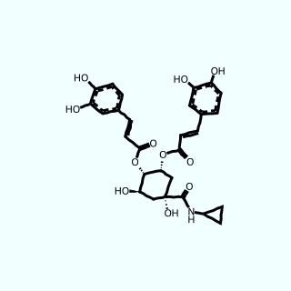 O=C(/C=C/c1ccc(O)c(O)c1)O[C@H]1[C@H](O)C[C@](O)(C(=O)NC2CC2)C[C@H]1OC(=O)/C=C/c1ccc(O)c(O)c1